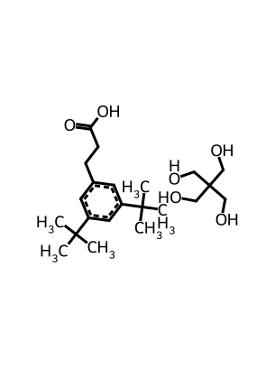 CC(C)(C)c1cc(CCC(=O)O)cc(C(C)(C)C)c1.OCC(CO)(CO)CO